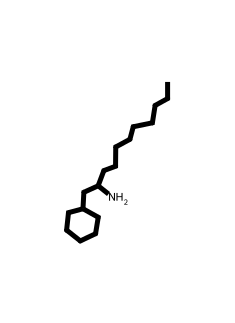 CCCCCCCCCC(N)CC1CCCCC1